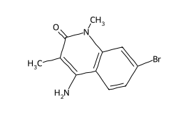 Cc1c(N)c2ccc(Br)cc2n(C)c1=O